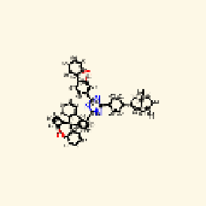 C1=CC2=C(CC1)C1(c3ccccc3Oc3ccccc31)c1cccc(-c3nc(-c4ccc(C56CC7[C@H](CC[C@H]7C5)C6)cc4)nc(-c4ccc5c(c4)oc4ccccc45)n3)c12